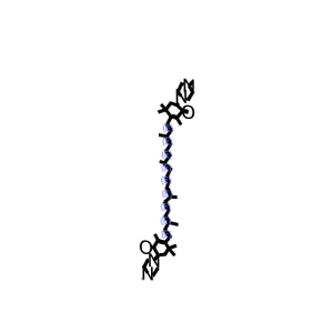 CC1=C(/C=C/C(C)=C/C=C/C(C)=C/C=C/C=C(C)/C=C/C=C(C)/C=C/C2=C(C)C(=O)C(N3CCN(C)CC3)CC2(C)C)C(C)(C)CC(N2CCN(C)CC2)C1=O